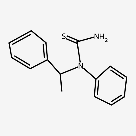 CC(c1ccccc1)N(C(N)=S)c1ccccc1